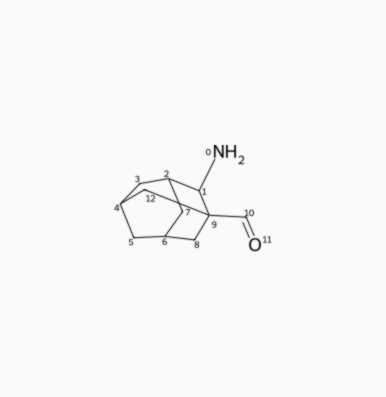 NC1C2CC3CC(C2)CC1(C=O)C3